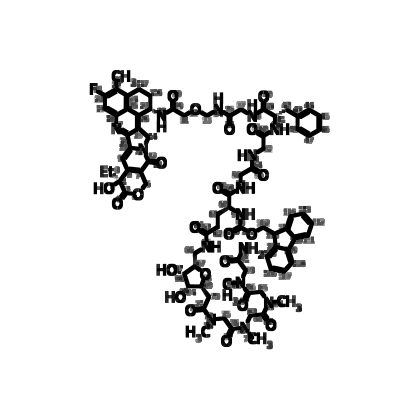 CC[C@@]1(O)C(=O)OCc2c1cc1n(c2=O)Cc2c-1nc1cc(F)c(C)c3c1c2[C@@H](NC(=O)COCNC(=O)CNC(=O)[C@H](Cc1ccccc1)NC(=O)CNC(=O)CNC(=O)[C@H](CCC(=O)NC[C@H]1O[C@@H](CC(=O)N(C)CC(=O)N(C)CC(=O)N(C)CC(=O)N(C)CC(N)=O)[C@H](O)[C@@H]1O)NC(=O)OCC1c2ccccc2-c2ccccc21)CC3